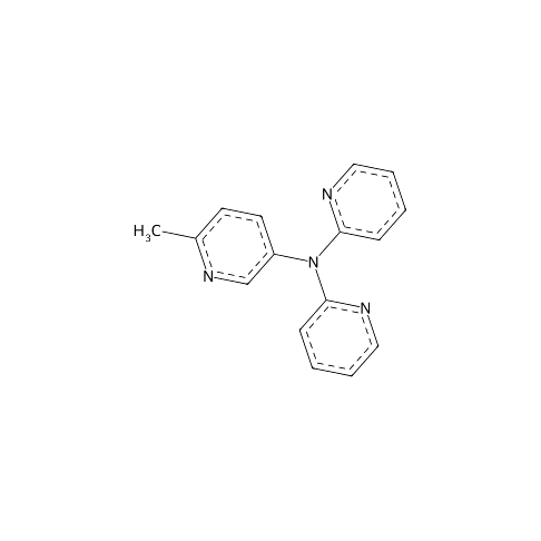 Cc1ccc(N(c2ccccn2)c2ccccn2)cn1